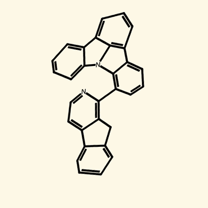 c1ccc2c(c1)Cc1c-2ccnc1-c1cccc2c3cccc4c5ccccc5n(c12)c43